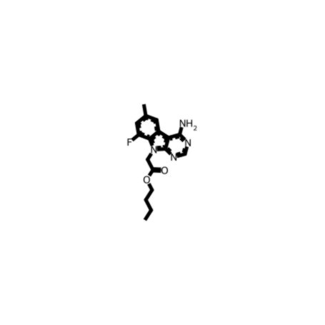 CCCCOC(=O)Cn1c2ncnc(N)c2c2cc(C)cc(F)c21